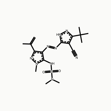 C=C(C)c1nn(C)c(NS(=O)(=O)N(C)C)c1/N=N/c1[nH]nc(C(C)(C)C)c1C#N